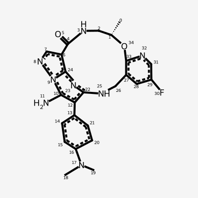 C[C@H]1CNC(=O)c2cnn3c(N)c(-c4ccc(N(C)C)cc4)c(nc23)NCc2cc(F)cnc2O1